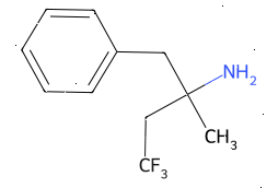 CC(N)(Cc1ccccc1)CC(F)(F)F